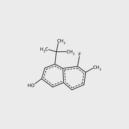 Cc1ccc2cc(O)cc(C(C)(C)C)c2c1F